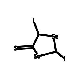 S=C1[Se]C(I)[Se]C1I